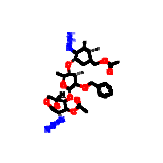 CC(=O)OCC1C[C@H](O[C@@H]2C(C)O[C@@H](O[C@H]3C(OC(C)=O)[C@H](N=[N+]=[N-])C4OC[C@H]3O4)C(OCc3ccccc3)[C@H]2C)C(N=[N+]=[N-])[C@@H](C)[C@@H]1C